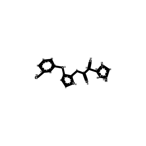 O=C(Cc1occc1Oc1cccc(Cl)c1)C(=O)c1nc[nH]n1